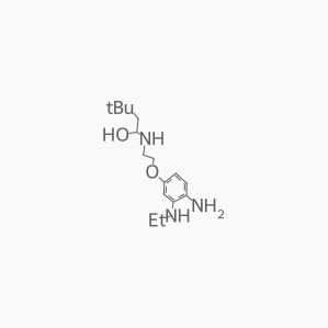 CCNc1cc(OCCNC(O)CC(C)(C)C)ccc1N